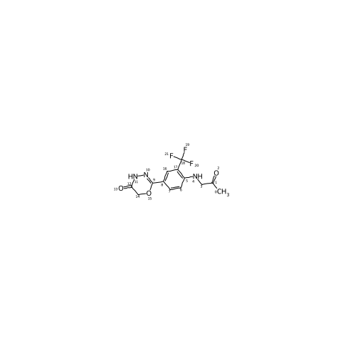 CC(=O)CNc1ccc(C2=NNC(=O)CO2)cc1C(F)(F)F